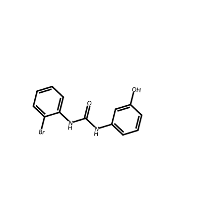 O=C(Nc1cccc(O)c1)Nc1ccccc1Br